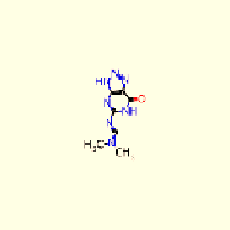 CN(C)/C=N/c1nc2[nH]nnc2c(=O)[nH]1